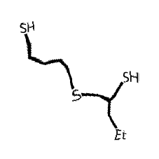 CCC(S)SCCS